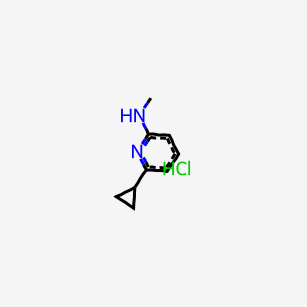 CNc1cccc(C2CC2)n1.Cl